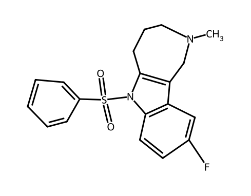 CN1CCCc2c(c3cc(F)ccc3n2S(=O)(=O)c2ccccc2)C1